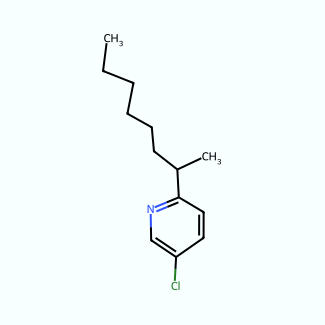 CCCCCCC(C)c1ccc(Cl)cn1